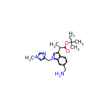 CC(C(=O)OC(C)(C)C)c1cn(Cc2cn(C)cn2)c2cc(CN)ccc12